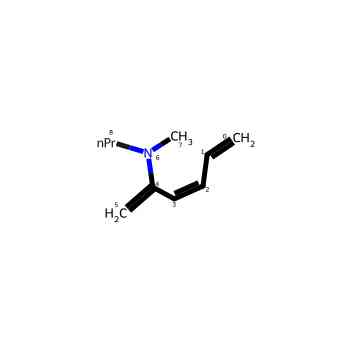 C=C/C=C\C(=C)N(C)CCC